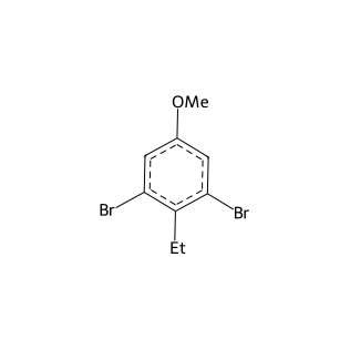 CCc1c(Br)cc(OC)cc1Br